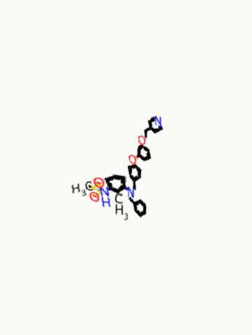 Cc1c(NS(C)(=O)=O)cccc1N(Cc1ccccc1)Cc1ccc(Oc2cccc(OCCc3ccncc3)c2)cc1